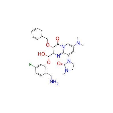 CN1CCN(c2cc(N(C)C)cn3c(=O)c(OCc4ccccc4)c(C(=O)O)nc23)C1=O.NCc1ccc(F)cc1